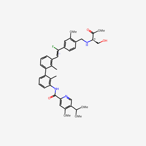 COC(=O)[C@@H](CO)NCc1ccc(/C(F)=C/c2cccc(-c3cccc(NC(=O)c4cc(OC)c(C(OC)OC)cn4)c3C)c2C)cc1OC